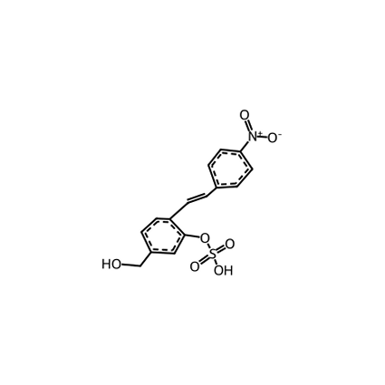 O=[N+]([O-])c1ccc(C=Cc2ccc(CO)cc2OS(=O)(=O)O)cc1